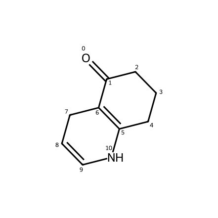 O=C1CCCC2=C1CC=CN2